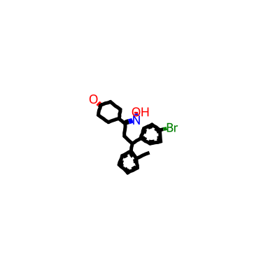 Cc1ccccc1C(CC(=NO)C1CCC(=O)CC1)c1ccc(Br)cc1